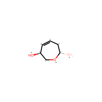 B[C@H]1CC=C[C@H](O)CO1